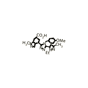 CCn1nc(C)cc1-c1nnc(-c2cc(C(=O)O)cc3c2cnn3C)n1Cc1ccc(OC)cc1